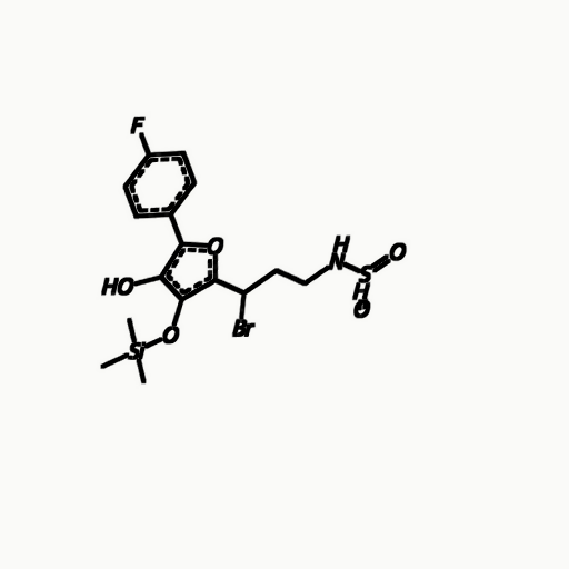 C[Si](C)(C)Oc1c(C(Br)CCN[SH](=O)=O)oc(-c2ccc(F)cc2)c1O